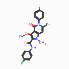 CCc1cc2c(c(OC(C)C)c(C(=O)Nc3ccc(F)cc3)n2C)c(=O)n1-c1ccc(F)cc1